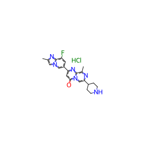 Cc1cn2cc(-c3cc(=O)n4cc(C5CCNCC5)nc(C)c4n3)cc(F)c2n1.Cl